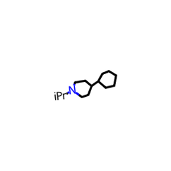 CC(C)N1CCC(C2CCCCC2)CC1